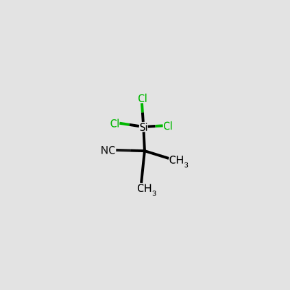 CC(C)(C#N)[Si](Cl)(Cl)Cl